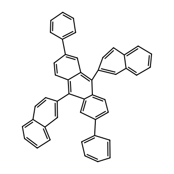 c1ccc(-c2ccc3c(-c4ccc5ccccc5c4)c4cc(-c5ccccc5)ccc4c(-c4ccc5ccccc5c4)c3c2)cc1